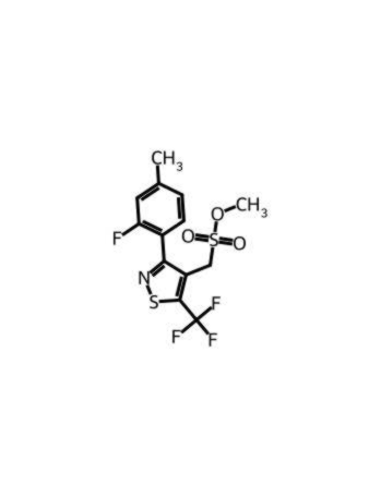 COS(=O)(=O)Cc1c(-c2ccc(C)cc2F)nsc1C(F)(F)F